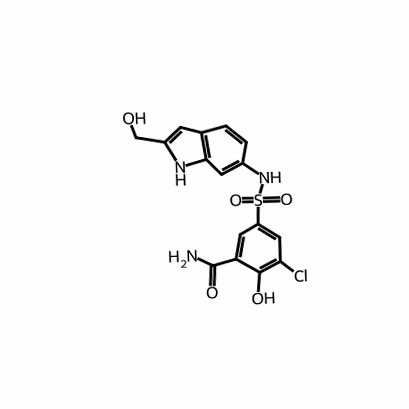 NC(=O)c1cc(S(=O)(=O)Nc2ccc3cc(CO)[nH]c3c2)cc(Cl)c1O